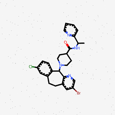 CC(NC(=O)C1CCN(C2c3ccc(Cl)cc3CCc3cc(Br)cnc32)CC1)c1ccccn1